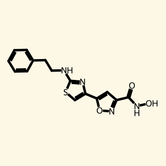 O=C(NO)c1cc(-c2csc(NCCc3ccccc3)n2)on1